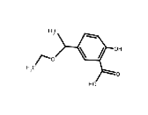 CCOC(C)c1ccc(O)c(C(=O)O)c1